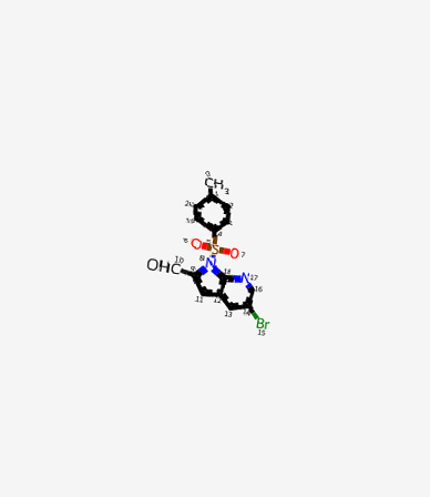 Cc1ccc(S(=O)(=O)n2c(C=O)cc3cc(Br)cnc32)cc1